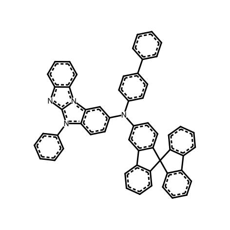 c1ccc(-c2ccc(N(c3ccc4c(c3)-c3ccccc3C43c4ccccc4-c4ccccc43)c3ccc4c(c3)n3c5ccccc5nc3n4-c3ccccc3)cc2)cc1